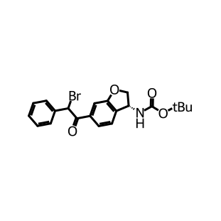 CC(C)(C)OC(=O)N[C@H]1COc2cc(C(=O)C(Br)c3ccccc3)ccc21